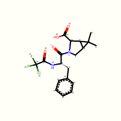 CC1(C)C2CN(C(=O)[C@H](Cc3ccccc3)NC(=O)C(F)(F)Cl)C(C(=O)O)C21